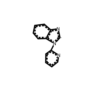 [c]1nc2ccccc2n1-c1ccccn1